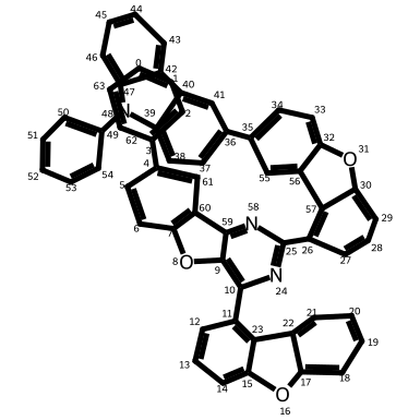 c1ccc(-c2ccc3oc4c(-c5cccc6oc7ccccc7c56)nc(-c5cccc6oc7ccc(-c8ccc9c(c8)c8ccccc8n9-c8ccccc8)cc7c56)nc4c3c2)cc1